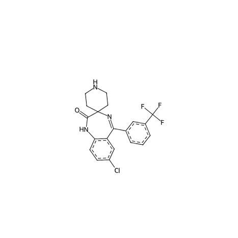 O=C1Nc2ccc(Cl)cc2C(c2cccc(C(F)(F)F)c2)=NC12CCNCC2